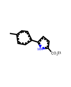 CCOC(=O)c1ccc(-c2ccc(C)cc2)[nH]1